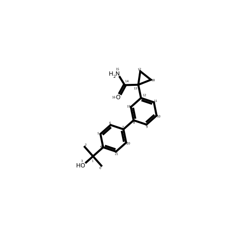 CC(C)(O)c1ccc(-c2cccc(C3(C(N)=O)CC3)c2)cc1